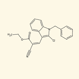 CCOC(=O)/C(C#N)=C\c1c(Cl)n(Cc2ccccc2)c2ccccc12